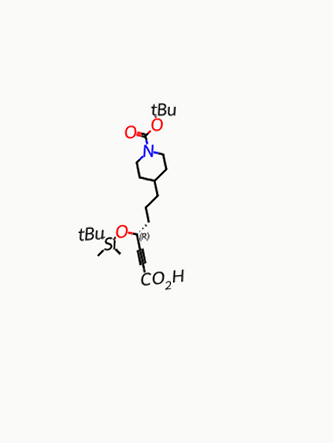 CC(C)(C)OC(=O)N1CCC(CCC[C@H](C#CC(=O)O)O[Si](C)(C)C(C)(C)C)CC1